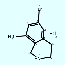 Cc1cc(Br)cc2c1CNCC2.Cl